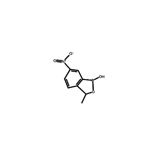 CC1OB(O)c2cc([N+](=O)[O-])ccc21